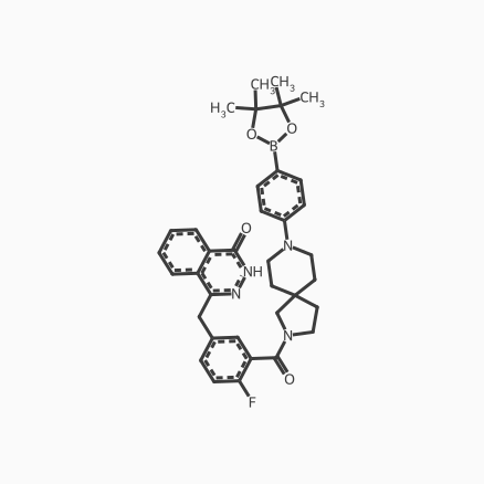 CC1(C)OB(c2ccc(N3CCC4(CCN(C(=O)c5cc(Cc6n[nH]c(=O)c7ccccc67)ccc5F)C4)CC3)cc2)OC1(C)C